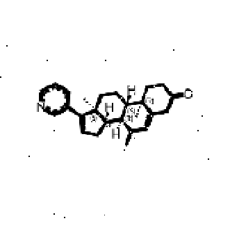 CC1C=C2CC(=O)CC[C@]2(C)[C@H]2CC[C@]3(C)C(c4cccnc4)=CC[C@H]3[C@H]12